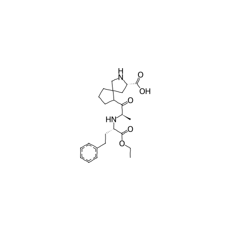 CCOC(=O)[C@H](CCc1ccccc1)N[C@H](C)C(=O)C1CCCC12CN[C@H](C(=O)O)C2